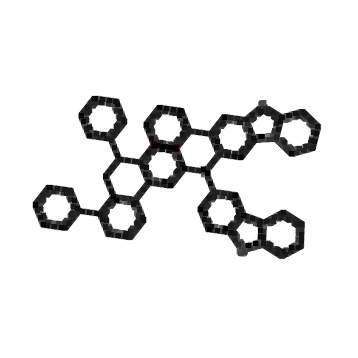 c1ccc(-c2cc3sc4ccccc4c3cc2N(c2ccc3c(c2)-c2cccc(-c4ccccc4)c2CC3c2ccccc2)c2ccc3oc4ccccc4c3c2)cc1